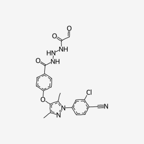 Cc1nn(-c2ccc(C#N)c(Cl)c2)c(C)c1Oc1ccc(C(=O)NNNC(=O)C=O)cc1